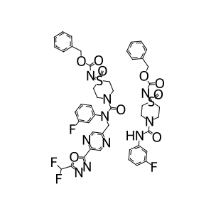 O=C(N=S1(=O)CCN(C(=O)N(Cc2cnc(-c3nnc(C(F)F)o3)cn2)c2cccc(F)c2)CC1)OCc1ccccc1.O=C(N=S1(=O)CCN(C(=O)Nc2cccc(F)c2)CC1)OCc1ccccc1